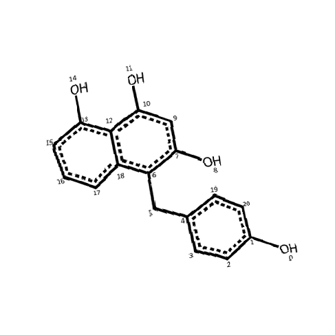 Oc1ccc(Cc2c(O)cc(O)c3c(O)cccc23)cc1